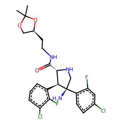 CC1(C)OC[C@H](CCNC(=O)[C@@H]2NC[C@](N)(c3ccc(Cl)cc3F)[C@H]2c2cccc(Cl)c2F)O1